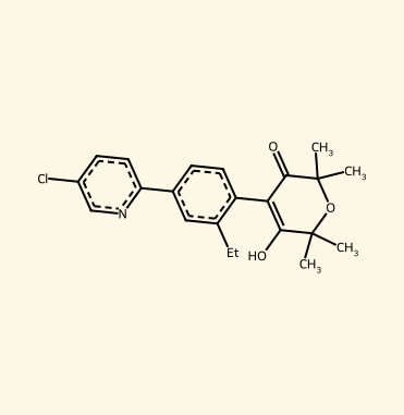 CCc1cc(-c2ccc(Cl)cn2)ccc1C1=C(O)C(C)(C)OC(C)(C)C1=O